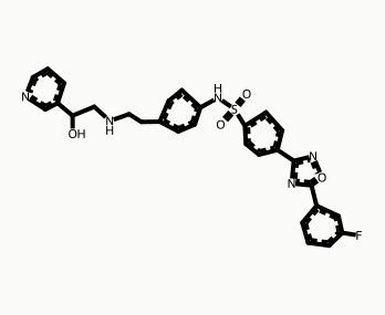 O=S(=O)(Nc1ccc(CCNCC(O)c2cccnc2)cc1)c1ccc(-c2noc(-c3cccc(F)c3)n2)cc1